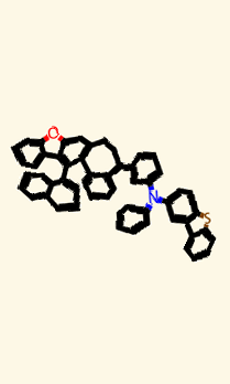 c1ccc(N(c2cccc(C3CCc4cc5oc6ccccc6c5c(-c5cccc6ccccc56)c4-c4ccccc43)c2)c2ccc3sc4ccccc4c3c2)cc1